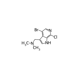 CN(C)Cc1c[nH]c2c(Cl)ncc(Br)c12